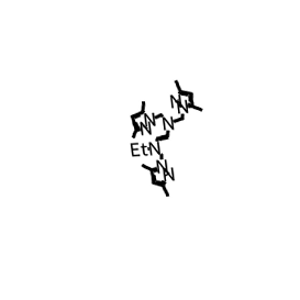 CCN(/C=C/N(Cn1nc(C)cc1C)Cn1nc(C)cc1C)Cn1nc(C)cc1C